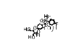 CC[C@]1(CO)OC2(C=C(C(=O)O)[C@H](S(=O)(=O)Nc3ccc(F)cc3Br)CC2)O[C@@H]1CO